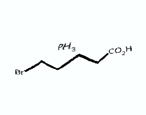 O=C(O)CCCCBr.P